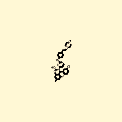 Cc1cc(C)c(C(c2cc(Cl)ccc2F)N(C(=O)O)c2ccnc(Nc3ccc(CCN4CCN(C)CC4)cc3)n2)c(C)c1